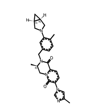 Cc1cn(-c2ccc3n(c2=O)C[C@@H](C)N(Cc2ccc(C)c(N4C[C@H]5C[C@H]5C4)c2)C3=O)cn1